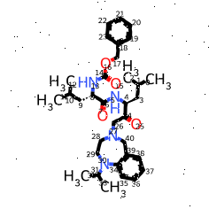 CC(C)C[C@H](NC(=O)[C@H](CC(C)C)NC(=O)OCc1ccccc1)C(=O)CN1CCN(C(C)C)c2ccccc2C1